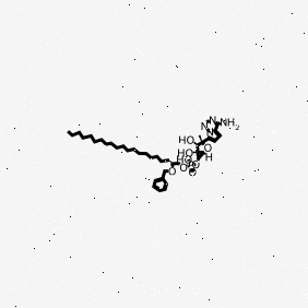 CCCCCCCCCCCCCCCCCCC[C@H](COP(=O)(O)OC1[C@H]2O[C@@](C)(c3ccc4c(N)ncnn34)[C@H](O)[C@@]12O)OCc1ccccc1